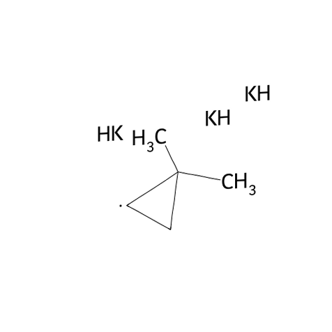 CC1(C)[CH]C1.[KH].[KH].[KH]